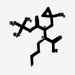 CC1(C[C@H](C(=O)OC(C)(C)C)[C@@H](CCCF)C(=O)O)CC1